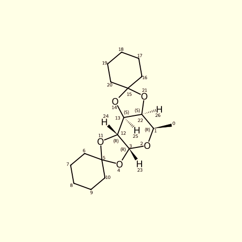 C[C@H]1O[C@@H]2OC3(CCCCC3)O[C@@H]2[C@H]2OC3(CCCCC3)O[C@H]21